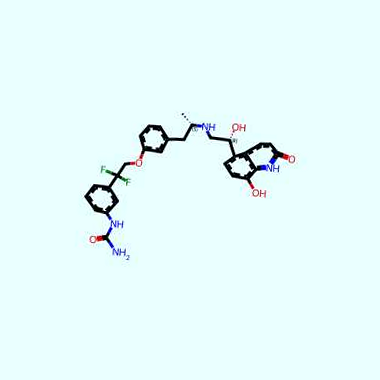 C[C@@H](Cc1cccc(OCC(F)(F)c2cccc(NC(N)=O)c2)c1)NC[C@H](O)c1ccc(O)c2[nH]c(=O)ccc12